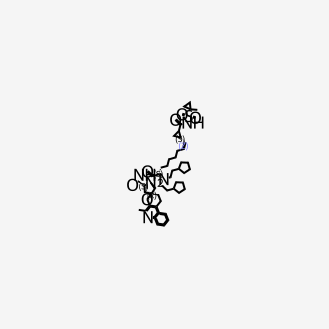 Cc1nc2ccccc2c2c1O[C@]1(CC2)C[C@@H](C(N)=O)N(C(=O)[C@H](CCCCC/C=C\[C@@H]2CC2C(=O)NS(=O)(=O)C2(C)CC2)N(CCC2CCCC2)CCC2CCCC2)C1